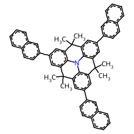 CC1(C)c2cc(-c3ccc4ccccc4c3)cc3c2N2c4c1cc(-c1ccc5ccccc5c1)cc4C(C)(C)c1cc(-c4ccc5ccccc5c4)cc(c12)C3(C)C